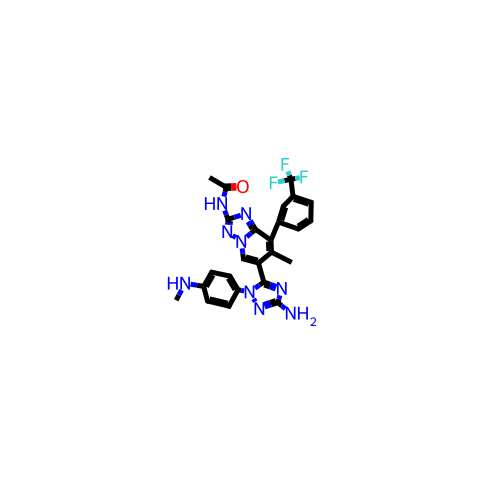 CNc1ccc(-n2nc(N)nc2-c2cn3nc(NC(C)=O)nc3c(-c3cccc(C(F)(F)F)c3)c2C)cc1